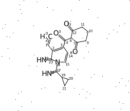 C=Cc1c(C(=O)C2C(=O)CCCC2=O)ccn(C(=N)C2CC2)c1=N